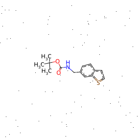 CC(C)(C)OC(=O)NCc1ccc2ccsc2c1